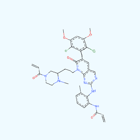 C=CC(=O)Nc1cccc(C)c1Nc1ncc2cc(-c3c(Cl)c(OC)cc(OC)c3Cl)c(=O)n(CCC3CN(C(=O)C=C)CCN3C)c2n1